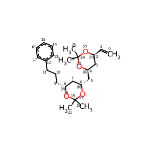 C=C[C@H]1C[C@@H](C[C@H]2C[C@@H](CCCc3ccccc3)OC(C)(C)O2)OC(C)(C)O1